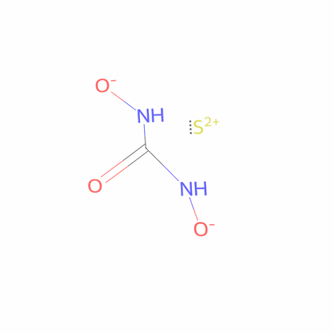 O=C(N[O-])N[O-].[S+2]